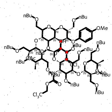 CCCCOCC1O[C@@H](O[C@@H](C)C(COCCCC)O[C@H](Oc2ccc(OC)cc2)[C@@H](COCCCC)O[C@@H]2OC(COCCCC)[C@@H](O[C@H](OC(COCCCC)[C@@H](C)OCCCC)[C@H](COCCCC)OC(C)=O)C(OCCCC)[C@@H]2NC(=O)OCC(Cl)(Cl)Cl)[C@@H](NC(=O)OCC(Cl)(Cl)Cl)C(OCCCC)[C@@H]1O[C@H](OC(COCCCC)[C@@H](C)OCCCC)[C@H](COCCCC)OC(C)=O